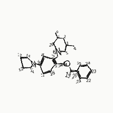 CC1CC(C)CN(c2cc(N3CCCC3)ccc2OCc2ccccc2)C1